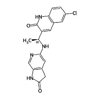 C[C@H](Nc1cc2c(cn1)NC(=O)C2)c1cc2cc(Cl)ccc2[nH]c1=O